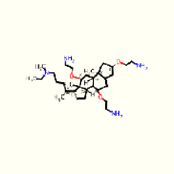 CCN(C)CCC[C@@H](C)[C@H]1CC[C@H]2C3[C@H](OCCN)CC4C[C@@H](OCCN)CC[C@]4(C)[C@H]3C[C@H](OCCN)C12C